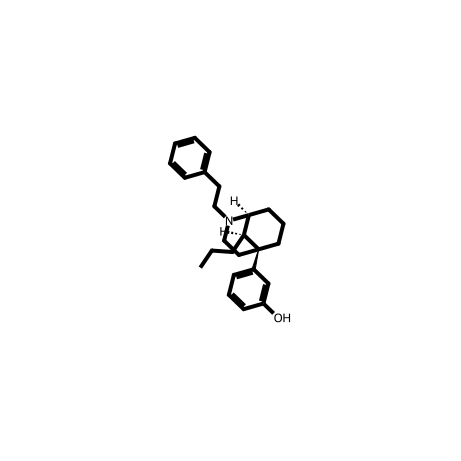 CCC[C@H]1[C@@H]2CCC[C@]1(c1cccc(O)c1)CCN2CCc1ccccc1